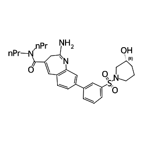 CCCN(CCC)C(=O)C1=Cc2ccc(-c3cccc(S(=O)(=O)N4CCC[C@@H](O)C4)c3)cc2N=C(N)C1